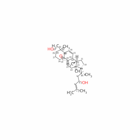 CC(C)=CC(O)C[C@@H](C)[C@H]1CC[C@@]2(C)[C@@H]3C=C[C@@]45OC[C@]3(CC[C@]12C)C4CC[C@H](O)C5(C)C